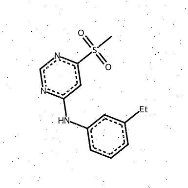 CCc1cccc(Nc2cc(S(C)(=O)=O)ncn2)c1